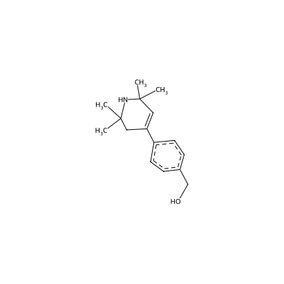 CC1(C)C=C(c2ccc(CO)cc2)CC(C)(C)N1